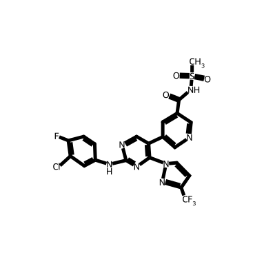 CS(=O)(=O)NC(=O)c1cncc(-c2cnc(Nc3ccc(F)c(Cl)c3)nc2-n2ccc(C(F)(F)F)n2)c1